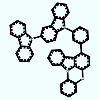 c1cc(-c2ccc3c4c2c2ccccc2n4-c2ccccc2O3)cc(-n2c3ccccc3c3cc(-n4c5ccccc5c5ccccc54)ccc32)c1